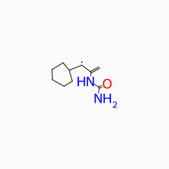 C=C([CH]C1CCCCC1)NC(N)=O